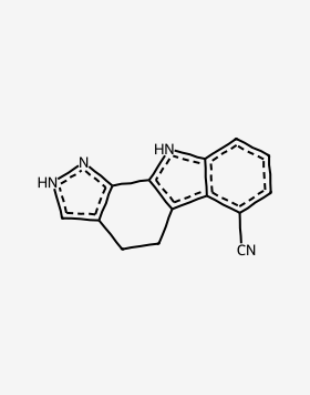 N#Cc1cccc2[nH]c3c(c12)CCc1c[nH]nc1-3